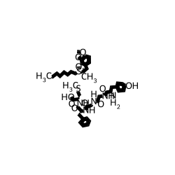 CCCCCCCC[S+]([O-])C(C)Cc1ccc2c(c1)OCO2.CSCC[C@@H](NC(=O)[C@@H](Cc1ccccc1)NC(=O)CNC(=O)CNC(=O)[C@H](N)Cc1ccc(O)cc1)C(=O)O